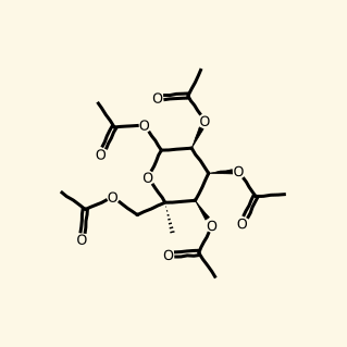 CC(=O)OC[C@@]1(C)OC(OC(C)=O)[C@@H](OC(C)=O)[C@@H](OC(C)=O)[C@H]1OC(C)=O